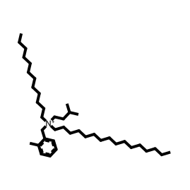 CCCCCCCCCCCCCCCC[N+](CCCCCCCCCCCC)(CCC(C)C)Cc1ccccc1C